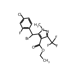 CCOC(=O)c1c(C(F)(F)F)nn(C)c1C(Br)c1ccc(Cl)cc1F